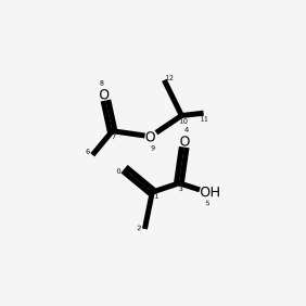 C=C(C)C(=O)O.CC(=O)OC(C)C